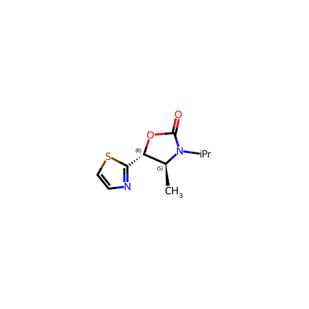 CC(C)N1C(=O)O[C@@H](c2nccs2)[C@@H]1C